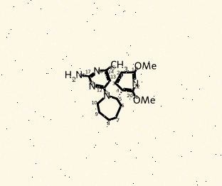 COc1ccc([C@@H]2CCCCCN2c2cc(C)nc(N)n2)c(OC)n1